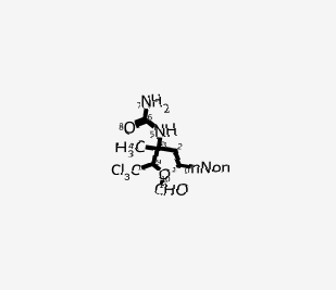 CCCCCCCCCCCC(C)(NC(N)=O)C(OC=O)C(Cl)(Cl)Cl